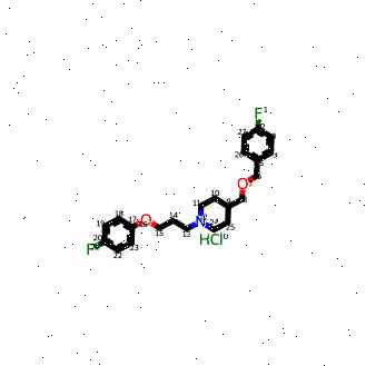 Cl.Fc1ccc(COCC2CCN(CCCOc3ccc(F)cc3)CC2)cc1